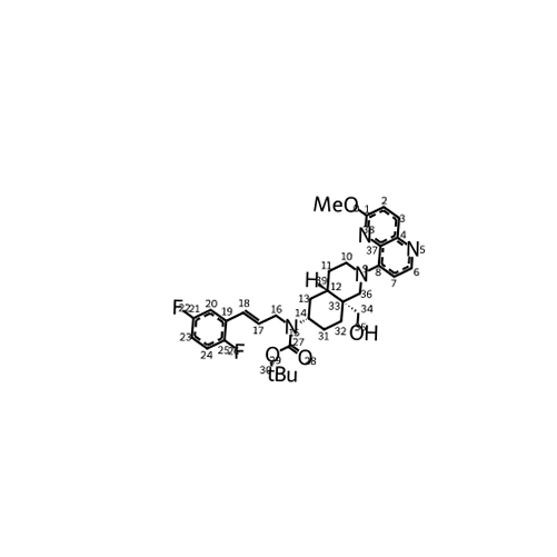 COc1ccc2nccc(N3CC[C@H]4C[C@@H](N(CC=Cc5cc(F)ccc5F)C(=O)OC(C)(C)C)CC[C@]4(CO)C3)c2n1